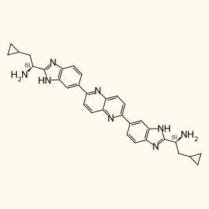 N[C@@H](CC1CC1)c1nc2ccc(-c3ccc4nc(-c5ccc6nc([C@@H](N)CC7CC7)[nH]c6c5)ccc4n3)cc2[nH]1